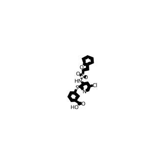 O=C(O)c1cccc(Sc2ncc(Cl)cc2NS(=O)(=O)c2cc3ccccc3o2)c1